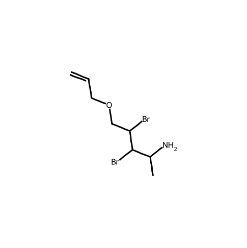 C=CCOCC(Br)C(Br)C(C)N